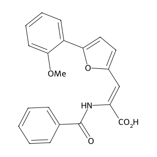 COc1ccccc1-c1ccc(C=C(NC(=O)c2ccccc2)C(=O)O)o1